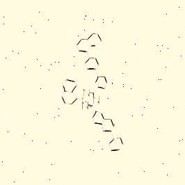 c1ccc(-c2ccc3cc(-c4nc(-c5cccc(-c6ccc(-c7cccc8ccccc78)cc6)c5)nc(-c5cccc6ccccc56)n4)ccc3c2)cc1